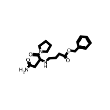 NC(=O)CC(NCCCC(=O)OCc1ccccc1)C(=O)N1CCCC1